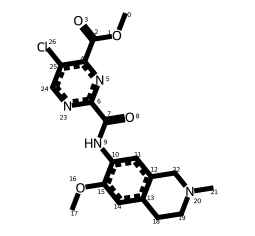 COC(=O)c1nc(C(=O)Nc2cc3c(cc2OC)CCN(C)C3)ncc1Cl